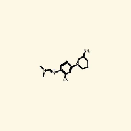 CN(C)/C=N/c1ccc(N2CCCC(N)C2)cc1C#N